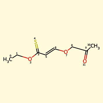 CCOC(=S)C=COCC(C)=O